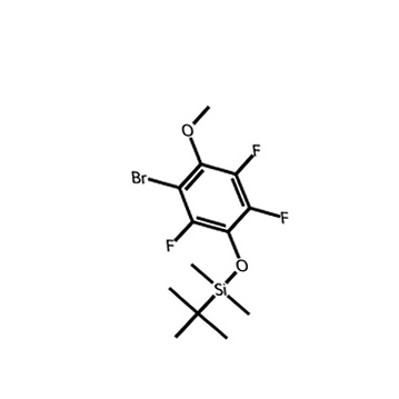 COc1c(F)c(F)c(O[Si](C)(C)C(C)(C)C)c(F)c1Br